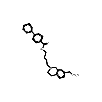 CCOC(=O)Cc1ccc2c(c1)CN(CCCCNC(=O)c1ccc(-c3ccccc3)cc1)CC2